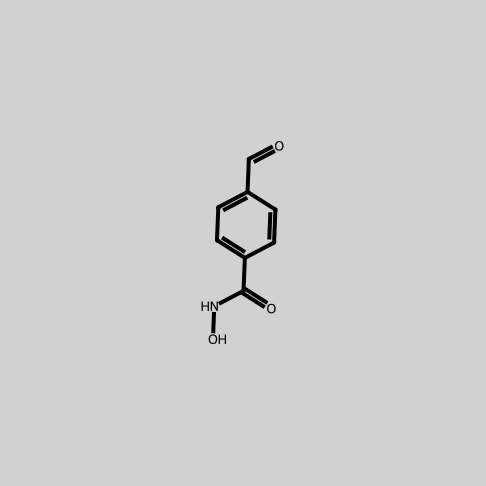 O=Cc1ccc(C(=O)NO)cc1